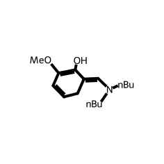 CCCCN(C=C1CC=CC(OC)=C1O)CCCC